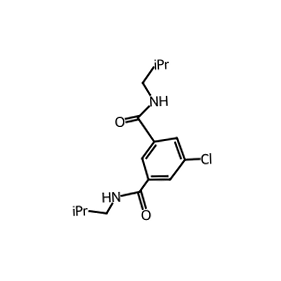 CC(C)CNC(=O)c1cc(Cl)cc(C(=O)NCC(C)C)c1